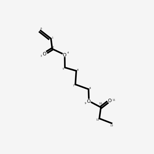 C=CC(=O)OCCCCOC(=O)CC